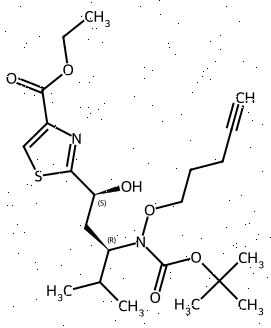 C#CCCCON(C(=O)OC(C)(C)C)[C@H](C[C@H](O)c1nc(C(=O)OCC)cs1)C(C)C